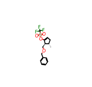 C[C@H]1CC=C(OS(=O)(=O)C(F)(F)F)[C@@H]1COCc1ccccc1